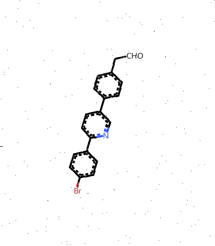 O=CCc1ccc(-c2ccc(-c3ccc(Br)cc3)nc2)cc1